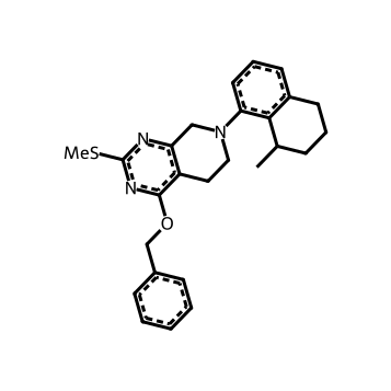 CSc1nc2c(c(OCc3ccccc3)n1)CCN(c1cccc3c1C(C)CCC3)C2